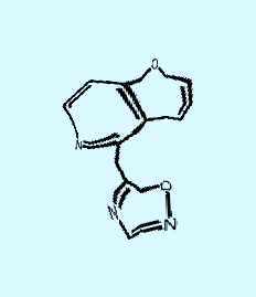 c1noc(-c2nccc3occc23)n1